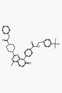 Cc1nc(N2CCN(C(=O)Cc3ccccc3)CC2)nc2c1ccc(=O)n2-c1ccc(C(=O)NCc2ccc(C(F)(F)F)cc2)cc1